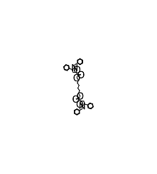 O=C(OCCCCCCOC(=O)C1CC(c2ccccc2)N(Cc2ccccc2)O1)C1CC(c2ccccc2)N(Cc2ccccc2)O1